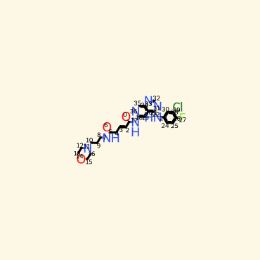 O=C(/C=C/CC(=O)NCCCN1CCOCC1)Nc1cc2c(Nc3ccc(F)c(Cl)c3)ncnc2cn1